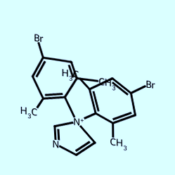 Cc1cc(Br)cc(C)c1[N+]1(c2c(C)cc(Br)cc2C)C=CN=C1